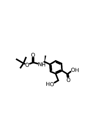 C[C@H](NC(=O)OC(C)(C)C)c1ccc(C(=O)O)c(CO)c1